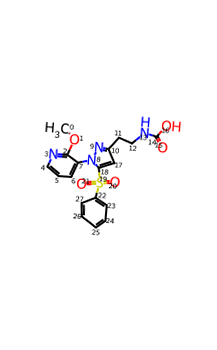 COc1ncccc1-n1nc(CCNC(=O)O)cc1S(=O)(=O)c1ccccc1